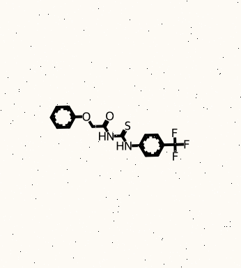 O=C(COc1ccccc1)NC(=S)Nc1ccc(C(F)(F)F)cc1